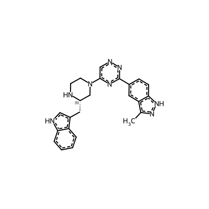 Cc1n[nH]c2ccc(-c3nncc(N4CCN[C@@H](Cc5c[nH]c6ccccc56)C4)n3)cc12